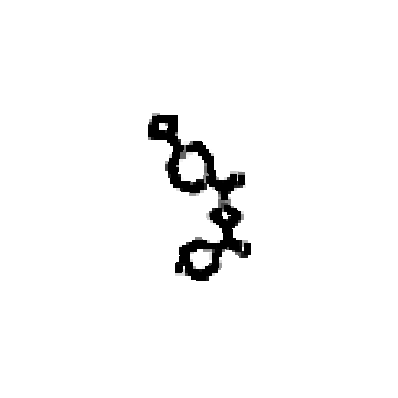 O=C(C1CN(C(=O)N2CCCN(C3CCC3)CC2)C1)N1CCOCC1